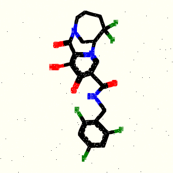 O=C(NCc1c(F)cc(F)cc1F)c1cn2c(c(O)c1=O)C(=O)N1CCCC(F)(F)C2C1